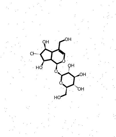 OCC1=CO[C@@H](O[C@@H]2O[C@H](CO)[C@@H](O)[C@H](O)[C@H]2O)C2C1[C@H](O)[C@@H](Cl)[C@@H]2O